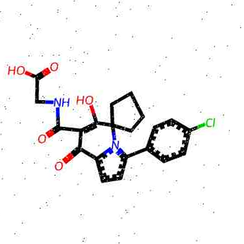 O=C(O)CNC(=O)C1=C(O)C2(CCCC2)n2c(ccc2-c2ccc(Cl)cc2)C1=O